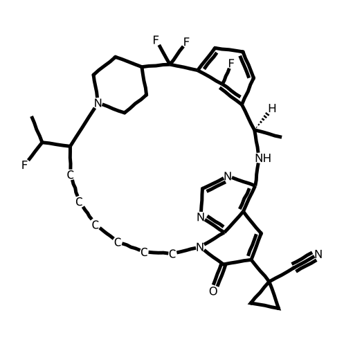 CC(F)C1CCCCCCn2c(=O)c(C3(C#N)CC3)cc3c(ncnc32)N[C@H](C)c2cccc(c2F)C(F)(F)C2CCN1CC2